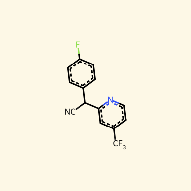 N#CC(c1ccc(F)cc1)c1cc(C(F)(F)F)ccn1